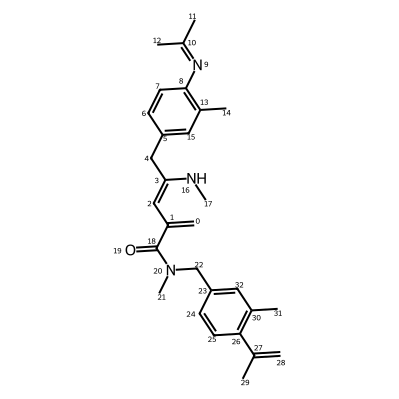 C=C(/C=C(/Cc1ccc(N=C(C)C)c(C)c1)NC)C(=O)N(C)Cc1ccc(C(=C)C)c(C)c1